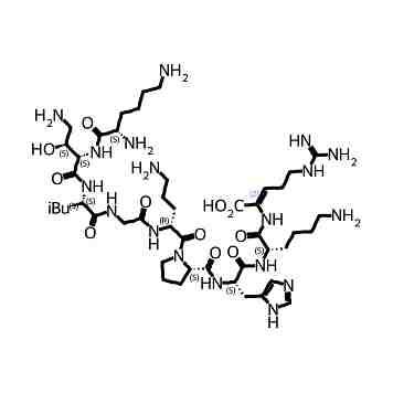 CC[C@H](C)[C@H](NC(=O)[C@@H](NC(=O)[C@@H](N)CCCCN)[C@@H](O)CN)C(=O)NCC(=O)N[C@H](CCCN)C(=O)N1CCC[C@H]1C(=O)N[C@@H](Cc1cnc[nH]1)C(=O)N[C@@H](CCCCN)C(=O)N/C(=C\CCNC(=N)N)C(=O)O